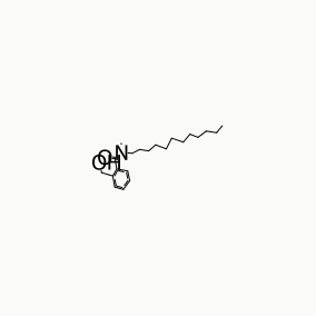 CCCCCCCCCCCCN(C)C(=O)c1ccccc1CO